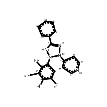 Fc1cc(N2NC(c3ccccc3)=NN2c2ccncc2)c(F)c(F)c1F